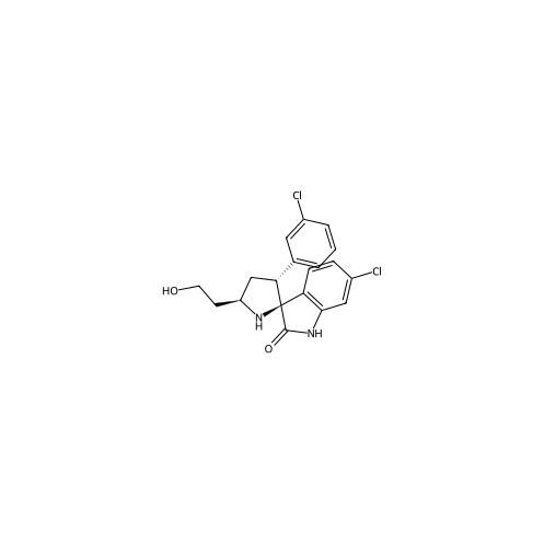 O=C1Nc2cc(Cl)ccc2[C@]12N[C@@H](CCO)C[C@@H]2c1cccc(Cl)c1